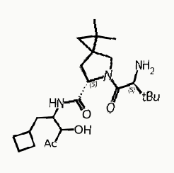 CC(=O)C(O)C(CC1CCC1)NC(=O)[C@@H]1CC2(CN1C(=O)[C@@H](N)C(C)(C)C)CC2(C)C